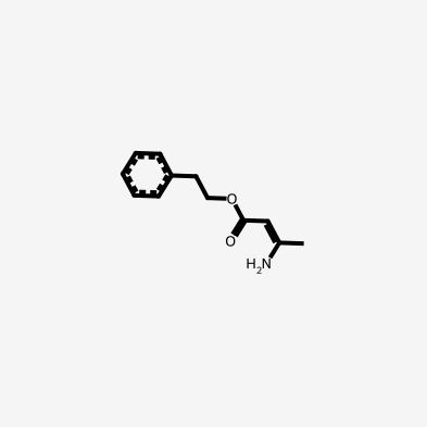 C/C(N)=C/C(=O)OCCc1ccccc1